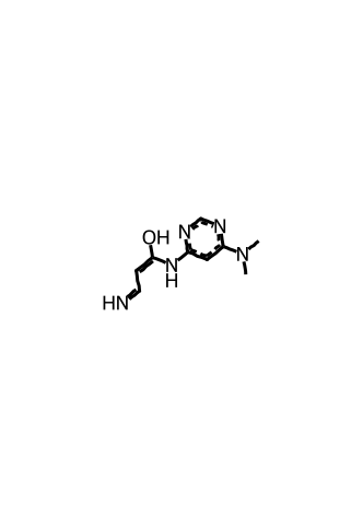 CN(C)c1cc(N/C(O)=C\C=N)ncn1